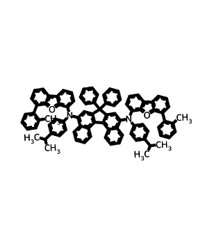 Cc1ccccc1-c1cccc2c1oc1c(N(c3ccc(C(C)C)cc3)c3cc4c(c5ccccc35)-c3c(cc(N(c5ccc(C(C)C)cc5)c5cccc6c5oc5c(-c7ccccc7C)cccc56)c5ccccc35)C4(c3ccccc3)c3ccccc3)cccc12